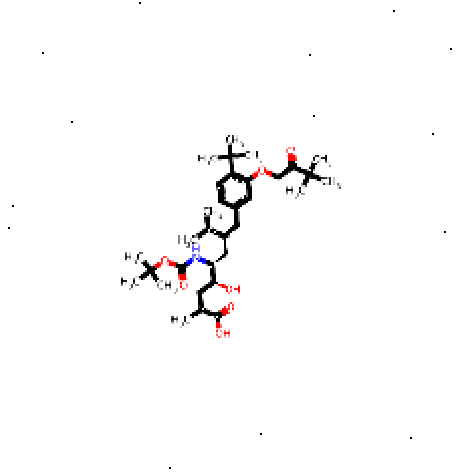 CC(C[C@H](O)[C@H](C[C@H](Cc1ccc(C(C)(C)C)c(OCC(=O)C(C)(C)C)c1)C(C)C)NC(=O)OC(C)(C)C)C(=O)O